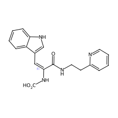 O=C(O)N/C(=C/c1c[nH]c2ccccc12)C(=O)NCCc1ccccn1